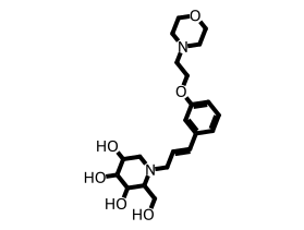 OCC1C(O)C(O)C(O)CN1CC=Cc1cccc(OCCN2CCOCC2)c1